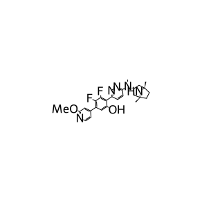 COc1cc(-c2cc(O)c(-c3ccc(N(C)[C@@H]4C[C@]5(C)CC[C@](C)(C4)N5)nn3)c(F)c2F)ccn1